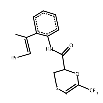 CC(=CC(C)C)c1ccccc1NC(=O)C1CS[C]=C(C(F)(F)F)O1